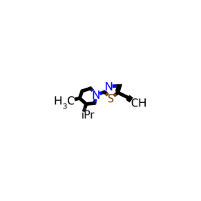 C#Cc1cnc(N2CCC(C)C(C(C)C)C2)s1